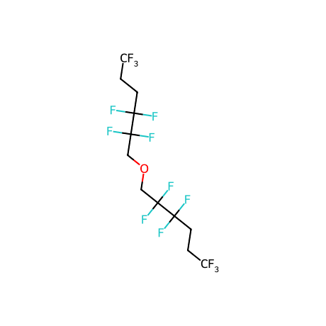 FC(F)(F)CCC(F)(F)C(F)(F)COCC(F)(F)C(F)(F)CCC(F)(F)F